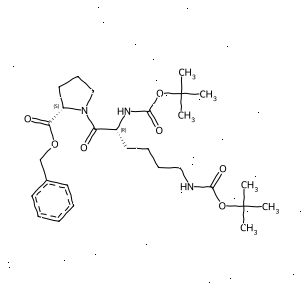 CC(C)(C)OC(=O)NCCCC[C@@H](NC(=O)OC(C)(C)C)C(=O)N1CCC[C@H]1C(=O)OCc1ccccc1